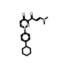 CN(C)/C=C/C(=O)c1nn(-c2ccc(C3CCCCC3)cc2)ccc1=O